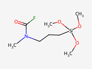 CO[Si](CCCN(C)C(=O)F)(OC)OC